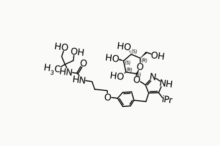 CC(C)c1[nH]nc(O[C@@H]2O[C@H](CO)[C@@H](O)[C@H](O)[C@H]2O)c1Cc1ccc(OCCCNC(=O)NC(C)(CO)CO)cc1